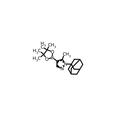 Cc1c(B2OC(C)(C)C(C)(C)O2)cnn1C12CC3CC(CC(C3)C1)C2